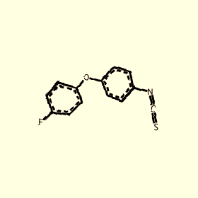 Fc1ccc(Oc2ccc(N=C=S)cc2)cc1